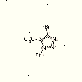 CCn1nnc(Br)c1C(Cl)(Cl)Cl